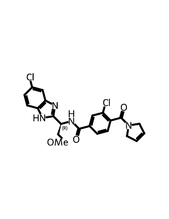 COC[C@H](NC(=O)c1ccc(C(=O)N2CC=CC2)c(Cl)c1)c1nc2cc(Cl)ccc2[nH]1